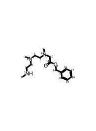 CNCCN(C)CCN(C)CC(=O)OCc1ccccc1